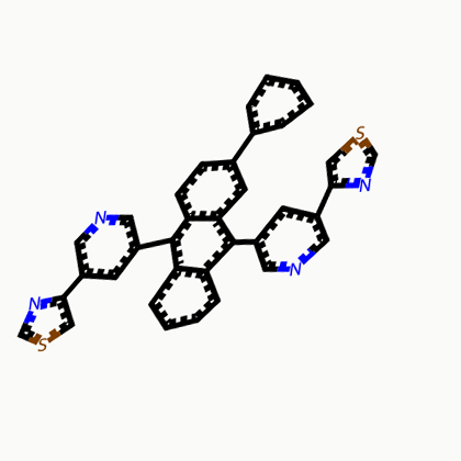 c1ccc(-c2ccc3c(-c4cncc(-c5cscn5)c4)c4ccccc4c(-c4cncc(-c5cscn5)c4)c3c2)cc1